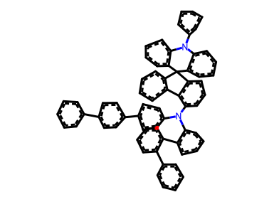 c1ccc(-c2ccc(-c3ccc(N(c4ccccc4-c4ccccc4-c4ccccc4)c4cccc5c4-c4ccccc4C54c5ccccc5N(c5ccccc5)c5ccccc54)cc3)cc2)cc1